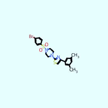 Cc1cc(C)cc(-c2csc(N3CCN(S(=O)(=O)c4ccc(Br)cc4)CC3)n2)c1